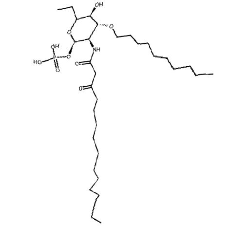 CCCCCCCCCCCC(=O)CC(=O)N[C@H]1[C@@H](OP(=O)(O)O)OC(CC)[C@@H](O)[C@@H]1OCCCCCCCCCC